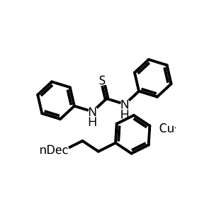 CCCCCCCCCCCCc1ccccc1.S=C(Nc1ccccc1)Nc1ccccc1.[Cu]